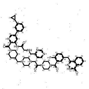 O=C(CNCc1ccncn1)Nc1cc(-c2cccc(C3CC3)c2)cnc1C(=O)N1CCC(CN2CCN(CC(=O)N3CCN(C(=O)c4cc(Cc5n[nH]c(=O)c6ccccc56)ccc4F)CC3)CC2)CC1